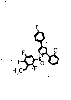 CCc1c(F)c(F)cc(C(=O)N2C=C(c3ccc(F)cc3)CC2c2ccccc2Cl)c1F